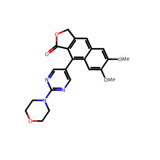 COc1cc2cc3c(c(-c4cnc(N5CCOCC5)nc4)c2cc1OC)C(=O)OC3